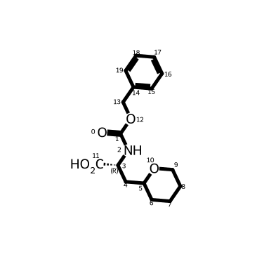 O=C(N[C@H](CC1CCCCO1)C(=O)O)OCc1ccccc1